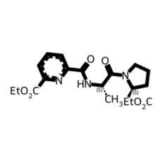 CCOC(=O)c1cccc(C(=O)N[C@@H](C)C(=O)N2CCC[C@H]2C(=O)OCC)n1